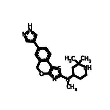 CN(c1nc2c(s1)-c1ccc(-c3cn[nH]c3)cc1CO2)C1CCNC(C)(C)C1